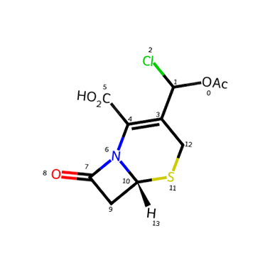 CC(=O)OC(Cl)C1=C(C(=O)O)N2C(=O)C[C@H]2SC1